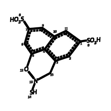 O=S(=O)(O)c1cc2c3c(cc(S(=O)(=O)O)cc3c1)ON(S)C2